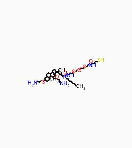 CCCCCCCCN(CCC[C@@H](C)C1CCC2C3CCC4C[C@H](OCCCN)CC[C@]4(C)C3C[C@H](OCCCN)[C@@]21C)C(=O)NCCOCCOCCOCCNC(=O)CCCS